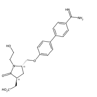 N=C(N)c1ccc(-c2ccc(OC[C@@H]3C[C@@H](CC(=O)O)C(=O)N3CCO)cc2)cc1